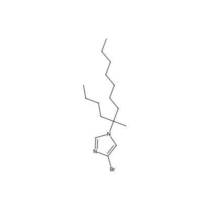 CCCCCCCC(C)(CCCC)n1cnc(Br)c1